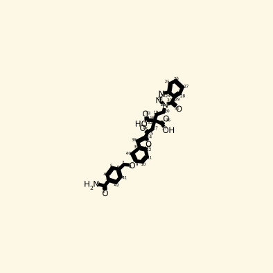 NC(=O)c1ccc(COc2ccc3oc(C(=O)CC(CCn4nnc5ccccc5c4=O)(C(=O)O)C(=O)O)cc3c2)cc1